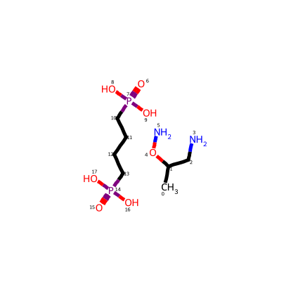 CC(CN)ON.O=P(O)(O)CCCCP(=O)(O)O